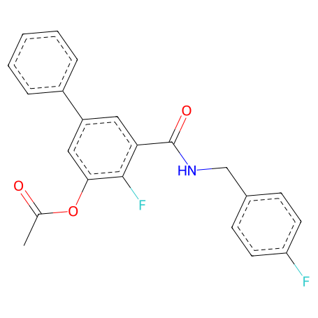 CC(=O)Oc1cc(-c2ccccc2)cc(C(=O)NCc2ccc(F)cc2)c1F